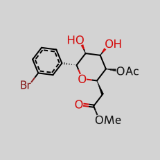 COC(=O)C[C@H]1O[C@H](c2cccc(Br)c2)[C@@H](O)[C@@H](O)[C@H]1OC(C)=O